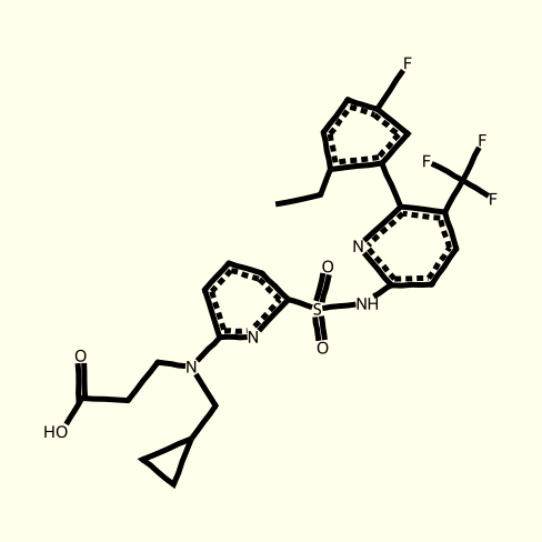 CCc1ccc(F)cc1-c1nc(NS(=O)(=O)c2cccc(N(CCC(=O)O)CC3CC3)n2)ccc1C(F)(F)F